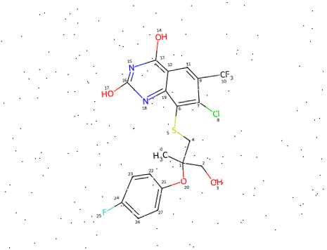 CC(CO)(CSc1c(Cl)c(C(F)(F)F)cc2c(O)nc(O)nc12)Oc1ccc(F)cc1